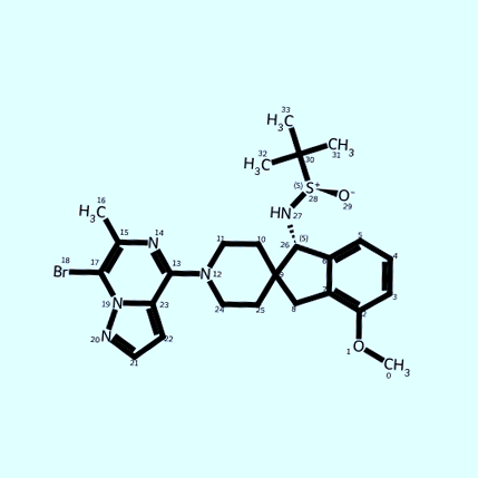 COc1cccc2c1CC1(CCN(c3nc(C)c(Br)n4nccc34)CC1)[C@@H]2N[S@+]([O-])C(C)(C)C